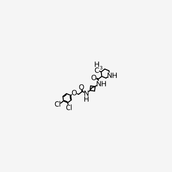 CC1CCNCC1C(=O)NC12CC(NC(=O)COc3ccc(Cl)c(Cl)c3)(C1)C2